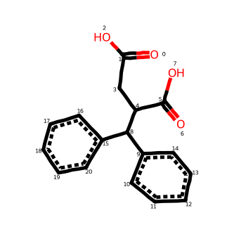 O=C(O)CC(C(=O)O)C(c1ccccc1)c1ccccc1